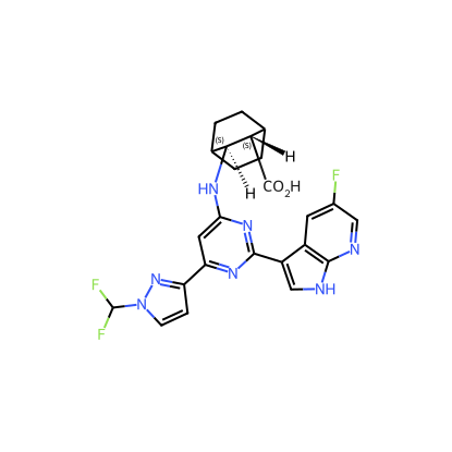 O=C(O)[C@H]1C2CCC(CC2)[C@@H]1Nc1cc(-c2ccn(C(F)F)n2)nc(-c2c[nH]c3ncc(F)cc23)n1